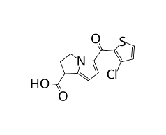 O=C(c1sccc1Cl)c1ccc2n1CCC2C(=O)O